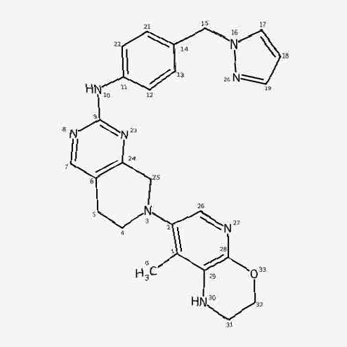 Cc1c(N2CCc3cnc(Nc4ccc(Cn5cccn5)cc4)nc3C2)cnc2c1NCCO2